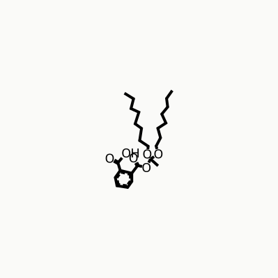 CCCCCCCCOC(C)(OCCCCCCCC)OC(=O)c1ccccc1C(=O)O